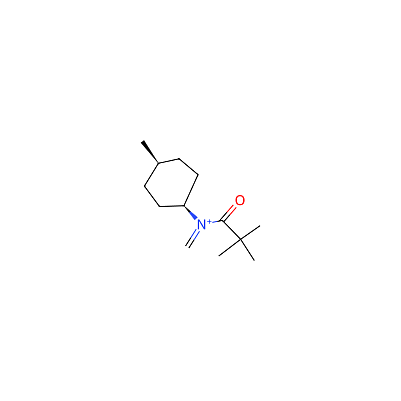 C=[N+](C(=O)C(C)(C)C)[C@H]1CC[C@@H](C)CC1